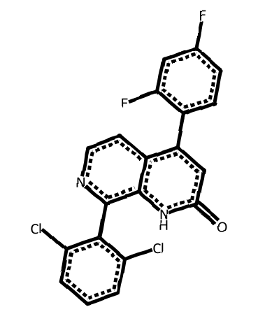 O=c1cc(-c2ccc(F)cc2F)c2ccnc(-c3c(Cl)cccc3Cl)c2[nH]1